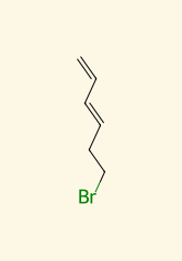 C=CC=CCCBr